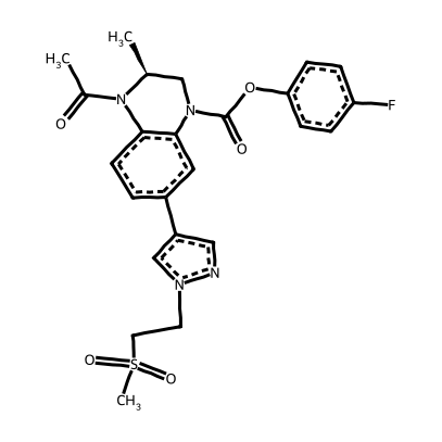 CC(=O)N1c2ccc(-c3cnn(CCS(C)(=O)=O)c3)cc2N(C(=O)Oc2ccc(F)cc2)C[C@@H]1C